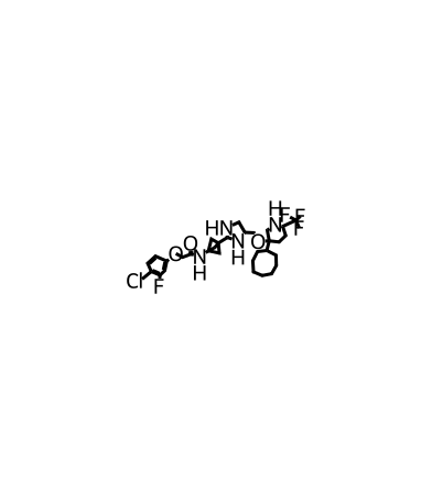 O=C(COc1ccc(Cl)c(F)c1)NC12CC(C3NCC(COC4(C5CCCCCCC5)CCC(C(F)(F)F)NC4)N3)(C1)C2